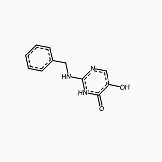 O=c1[nH]c(NCc2ccccc2)ncc1O